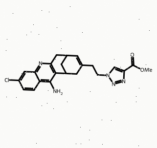 COC(=O)c1cn(CCC2=CC3Cc4nc5cc(Cl)ccc5c(N)c4C(C2)C3)nn1